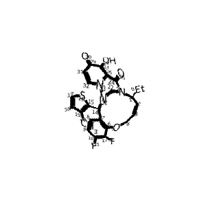 CC[C@H]1/C=C\COc2c(ccc(F)c2F)[C@@H](c2sccc2C)N2CN1C(=O)c1c(O)c(=O)ccn12